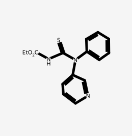 CCOC(=O)NC(=S)N(c1ccccc1)c1cccnc1